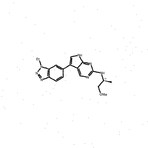 CCn1nnc2ccc(-c3c[nH]c4nc(N[C@@H](C)COC)ncc34)cc21